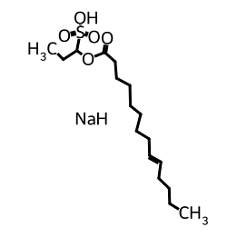 CCCCC=CCCCCCCCC(=O)OC(CC)S(=O)(=O)O.[NaH]